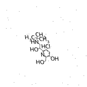 CC(C)(C)NCC(O)c1ccc(O)c(CO)n1.Cl